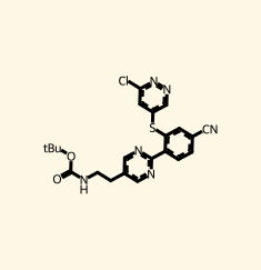 CC(C)(C)OC(=O)NCCc1cnc(-c2ccc(C#N)cc2Sc2cnnc(Cl)c2)nc1